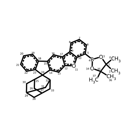 CC1(C)OB(c2cccc3c2oc2cc4c(cc23)-c2ccccc2C42C3CC4CC(C3)CC2C4)OC1(C)C